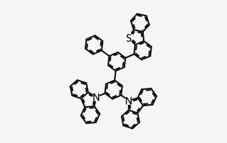 c1ccc(-c2cc(-c3cc(-n4c5ccccc5c5ccccc54)cc(-n4c5ccccc5c5ccccc54)c3)cc(-c3cccc4c3sc3ccccc34)c2)cc1